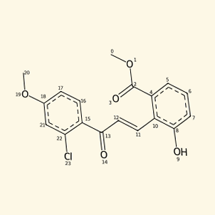 COC(=O)c1cccc(O)c1C=CC(=O)c1ccc(OC)cc1Cl